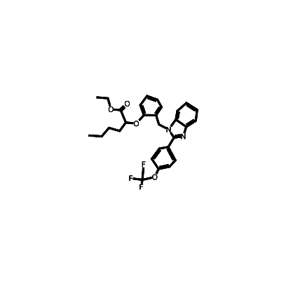 CCCCC(Oc1ccccc1Cn1c(-c2ccc(OC(F)(F)F)cc2)nc2ccccc21)C(=O)OCC